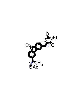 CCN1C(=O)S/C(=C\c2ccc3c(c2)c2cc(/C(C)=N/OC(C)=O)ccc2n3CC)C1=O